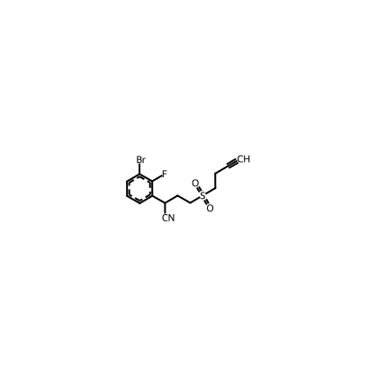 C#CCCS(=O)(=O)CCC(C#N)c1cccc(Br)c1F